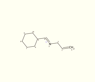 C=CC/N=C/C1CCCCC1